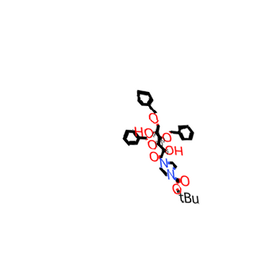 CC(C)(C)OC(=O)N1CCN(C(=O)[C@H](O)[C@@H](OCc2ccccc2)[C@H](OCc2ccccc2)[C@H](O)COCc2ccccc2)CC1